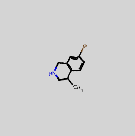 CC1CNCc2cc(Br)ccc21